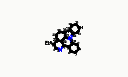 CCc1cnc2c3ccccc3n3c4ccccc4c4ccc1c2c43